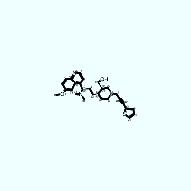 COc1ccc2nccc([C@@H](CC[C@@H]3CCN(CC#Cc4cccs4)C[C@@H]3CO)N(C)C)c2c1